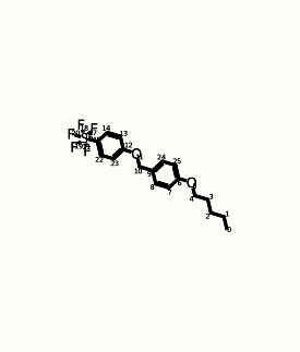 CCCCCOc1ccc(COc2ccc(S(F)(F)(F)(F)F)cc2)cc1